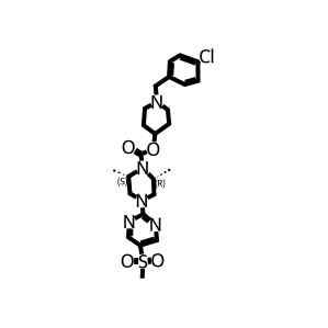 C[C@@H]1CN(c2ncc(S(C)(=O)=O)cn2)C[C@H](C)N1C(=O)OC1CCN(Cc2ccc(Cl)cc2)CC1